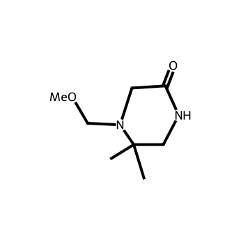 COCN1CC(=O)NCC1(C)C